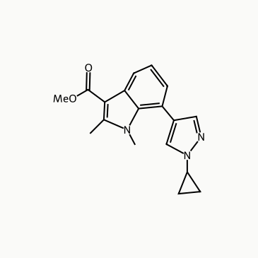 COC(=O)c1c(C)n(C)c2c(-c3cnn(C4CC4)c3)cccc12